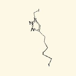 ICCCCCc1cn(CI)nn1